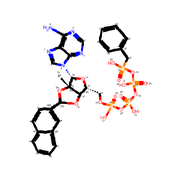 Nc1ncnc2c1ncn2[C@@H]1O[C@H](COP(=O)(O)OP(=O)(O)OP(=O)(O)OP(=O)(O)Cc2ccccc2)C2OC(c3ccc4ccccc4c3)O[C@@H]21